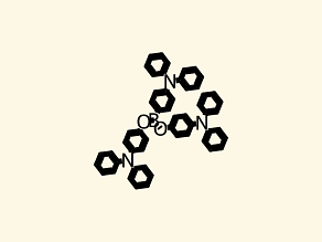 c1ccc(N(c2ccccc2)c2ccc(OB(Oc3ccc(N(c4ccccc4)c4ccccc4)cc3)c3ccc(N(c4ccccc4)c4ccccc4)cc3)cc2)cc1